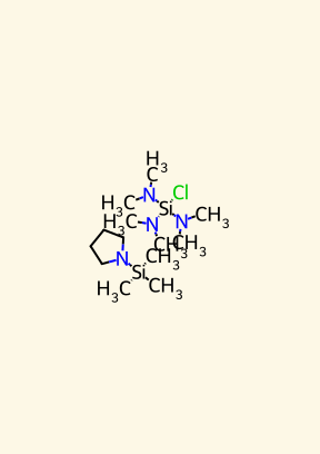 CN(C)[Si](Cl)(N(C)C)N(C)C.C[Si](C)(C)N1CCCC1